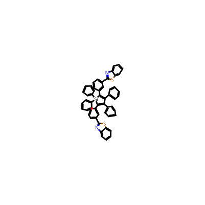 c1ccc(C2=C(c3cccc(-c4nc5ccccc5s4)c3)[Si](c3ccccc3)(c3ccccc3)C(c3cccc(-c4nc5ccccc5s4)c3)=C2c2ccccc2)cc1